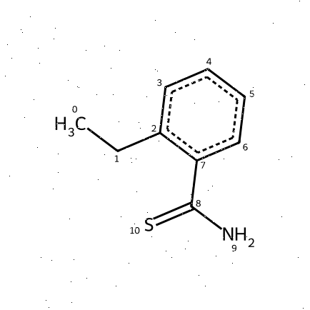 CCc1ccccc1C(N)=S